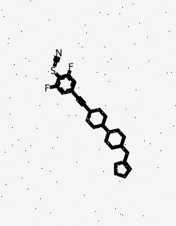 N#CSc1c(F)cc(C#CC2CCC(C3CCC(CC4=CCCC4)CC3)CC2)cc1F